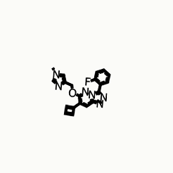 Cn1cnc(COc2nn3c(-c4ccccc4F)nnc3cc2C2=CC=C2)c1